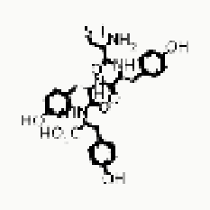 N[C@@H](CS)C(=O)N[C@@H](Cc1ccc(O)cc1)C(=O)N[C@@H](Cc1ccc(O)cc1)C(=O)N[C@@H](Cc1ccc(O)cc1)C(=O)O